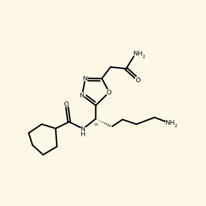 NCCCC[C@H](NC(=O)C1CCCCC1)c1nnc(CC(N)=O)o1